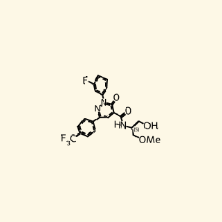 COC[C@H](CO)NC(=O)c1cc(-c2ccc(C(F)(F)F)cc2)nn(-c2cccc(F)c2)c1=O